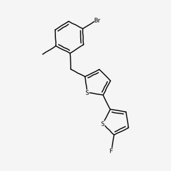 Cc1ccc(Br)cc1Cc1ccc(-c2ccc(F)s2)s1